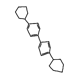 c1cc(C2CCCCC2)ccc1-c1ccc(C2CCCCC2)cc1